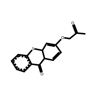 CC(=O)COC1=CC2Sc3ccccc3C(=O)C2C=C1